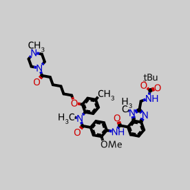 COc1cc(C(=O)N(C)c2ccc(C)cc2OCCCCCC(=O)N2CCN(C)CC2)ccc1NC(=O)c1cccc2nc(CNC(=O)OC(C)(C)C)n(C)c12